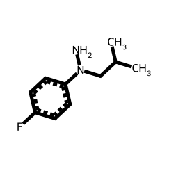 CC(C)CN(N)c1ccc(F)cc1